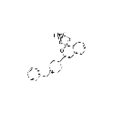 COC1(OC)OC(C2CCN(Cc3ccccc3)CC2)=Cc2ccccc21